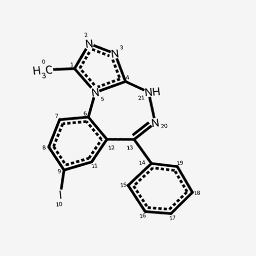 Cc1nnc2n1-c1ccc(I)cc1C(c1ccccc1)=NN2